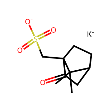 CC1(C)C2CCC1(CS(=O)(=O)[O-])C(=O)C2.[K+]